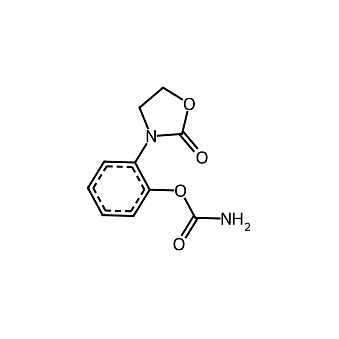 NC(=O)Oc1ccccc1N1CCOC1=O